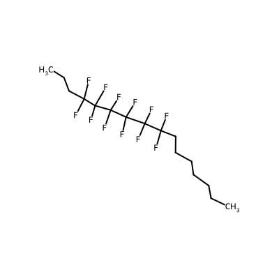 CCCCCCCC(F)(F)C(F)(F)C(F)(F)C(F)(F)C(F)(F)C(F)(F)CCC